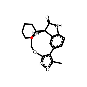 Cc1onc2c1-c1ccc3c(c1)C(C1CCCCC1)(NCCO2)C(=O)N3